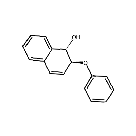 O[C@H]1c2ccccc2C=C[C@@H]1Oc1ccccc1